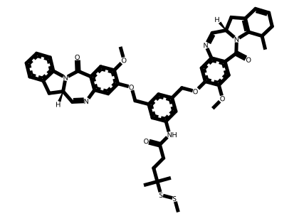 COc1cc2c(cc1OCc1cc(COc3cc4c(cc3OC)C(=O)N3c5ccccc5C[C@H]3C=N4)cc(NC(=O)CCC(C)(C)SSC)c1)N=C[C@@H]1CC3=C(C(C)CC=C3)N1C2=O